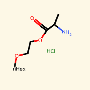 CCCCCCOCCOC(=O)C(C)N.Cl